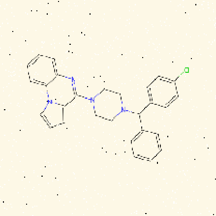 Clc1ccc(C(c2ccccc2)N2CCN(c3nc4ccccc4n4cccc34)CC2)cc1